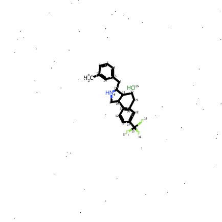 Cc1cccc(CC2NCC3c4ccc(C(F)(F)F)cc4CCC23)c1.Cl